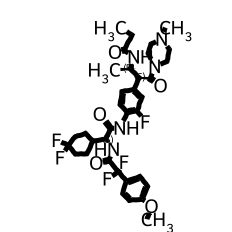 CCC(=O)N[C@H](C)[C@@H](C(=O)N1CCN(C)CC1)c1ccc(NC(=O)[C@@H](NC(=O)C(F)(F)c2ccc(OC)cc2)C2CCC(F)(F)CC2)c(F)c1